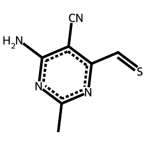 Cc1nc(N)c(C#N)c(C=S)n1